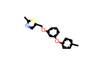 Cc1ccc(Oc2cccc(OCc3cnc(C)s3)c2)cc1